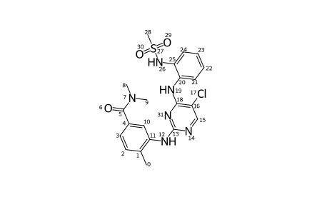 Cc1ccc(C(=O)N(C)C)cc1Nc1ncc(Cl)c(Nc2ccccc2NS(C)(=O)=O)n1